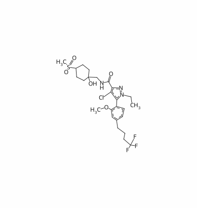 CCn1nc(C(=O)NCC2(O)CCC(S(C)(=O)=O)CC2)c(Cl)c1-c1ccc(CCCC(F)(F)F)cc1OC